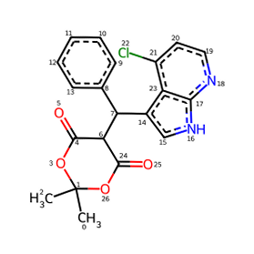 CC1(C)OC(=O)C(C(c2ccccc2)c2c[nH]c3nccc(Cl)c23)C(=O)O1